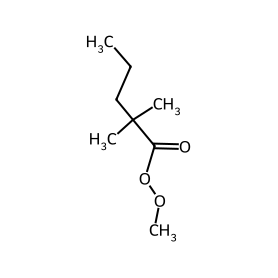 CCCC(C)(C)C(=O)OOC